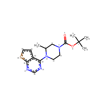 CC1CN(C(=O)OC(C)(C)C)CCN1c1ncnc2sccc12